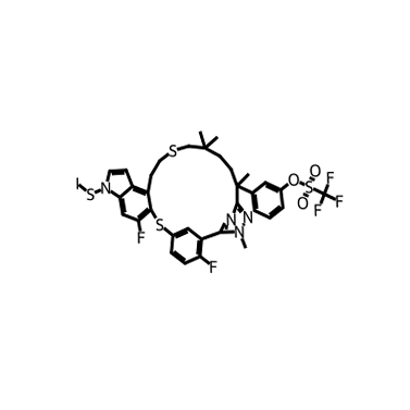 Cn1nc2nc1-c1cc(ccc1F)Sc1c(F)cc3c(ccn3SI)c1CCSCC(C)(C)CCC2(C)c1cccc(OS(=O)(=O)C(F)(F)F)c1